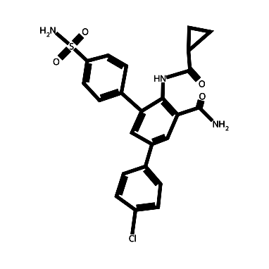 NC(=O)c1cc(-c2ccc(Cl)cc2)cc(-c2ccc(S(N)(=O)=O)cc2)c1NC(=O)C1CC1